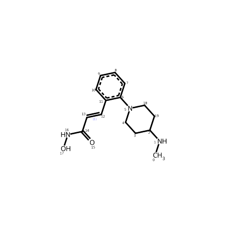 CNC1CCN(c2ccccc2/C=C/C(=O)NO)CC1